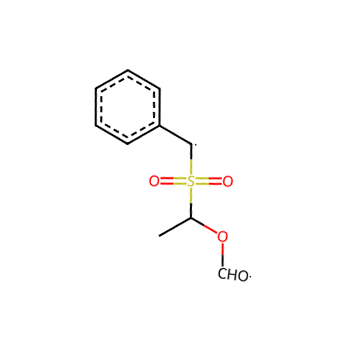 CC(O[C]=O)S(=O)(=O)[CH]c1ccccc1